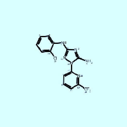 Nc1nc(Nc2ccccc2Cl)nn1-c1cccc(C(F)(F)F)n1